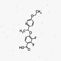 CCOc1ccc(C(C)Oc2ccc(C(=O)O)c(F)c2F)nc1